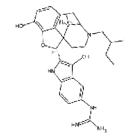 CCC(C)CN1CCC23c4c(ccc(O)c4O[C@H]2c2[nH]c4ccc(NC(=N)N)cc4c2O)CC1[C@@H]3C